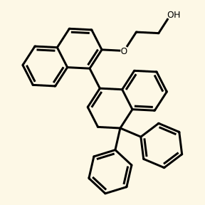 OCCOc1ccc2ccccc2c1C1=CCC(c2ccccc2)(c2ccccc2)c2ccccc21